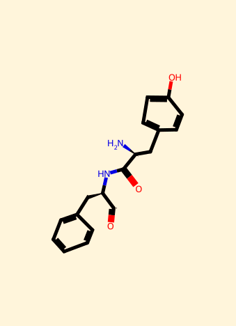 N[C@@H](Cc1ccc(O)cc1)C(=O)N[C@@H]([C]=O)Cc1ccccc1